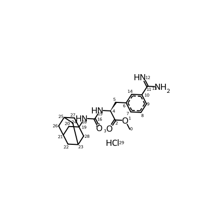 COC(=O)[C@H](Cc1cccc(C(=N)N)c1)NC(=O)NC12CC3CC(CC(C3)C1)C2.Cl